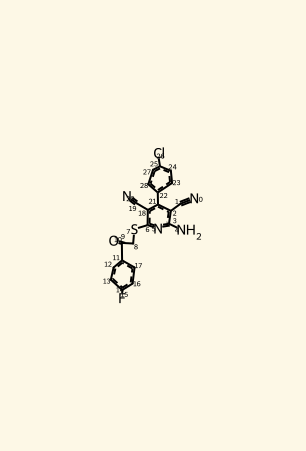 N#Cc1c(N)nc(SCC(=O)c2ccc(F)cc2)c(C#N)c1-c1ccc(Cl)cc1